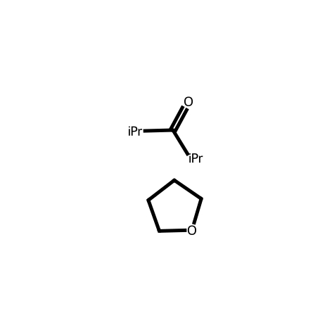 C1CCOC1.CC(C)C(=O)C(C)C